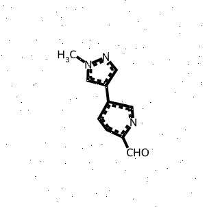 Cn1cc(-c2ccc(C=O)nc2)cn1